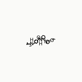 CCOC[C@@H]1CCCN(C[C@H]2CCCC[C@@H]2NC(=O)c2ccc(CNSC3CC3)cc2)C1